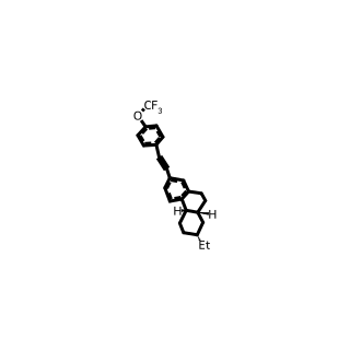 CC[C@@H]1CC[C@@H]2c3ccc(C#Cc4ccc(OC(F)(F)F)cc4)cc3CC[C@@H]2C1